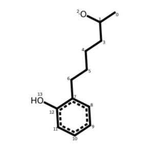 CC([O])CCCCc1ccccc1O